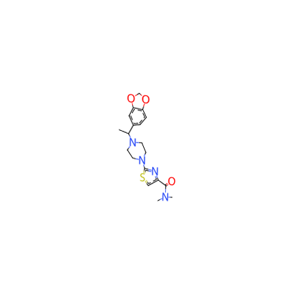 CC(c1ccc2c(c1)OCO2)N1CCN(c2nc(C(=O)N(C)C)cs2)CC1